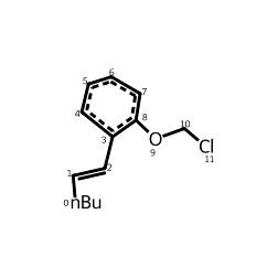 CCCCC=Cc1ccccc1OCCl